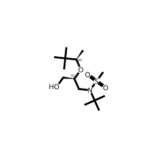 C[C@@H](O[C@H](CO)CN(C(C)(C)C)S(C)(=O)=O)C(C)(C)C